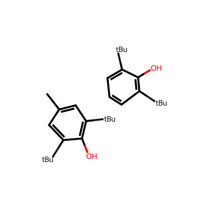 CC(C)(C)c1cccc(C(C)(C)C)c1O.Cc1cc(C(C)(C)C)c(O)c(C(C)(C)C)c1